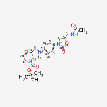 CC(=O)NCC1CN(c2ccc(N3CC4OCCN(C(=O)OC(C)(C)C)C4C3)c(F)c2)C(=O)O1